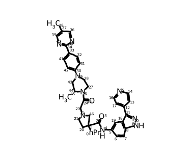 CCCC1(C(=O)Nc2ccc3[nH]nc(-c4ccncc4)c3c2)CCN(CC(=O)N2CCN(c3ccc(-c4ncc(C)cn4)cc3)C[C@H]2C)C1